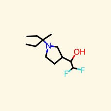 CCC(C)(CC)N1CCC(C(O)C(F)F)C1